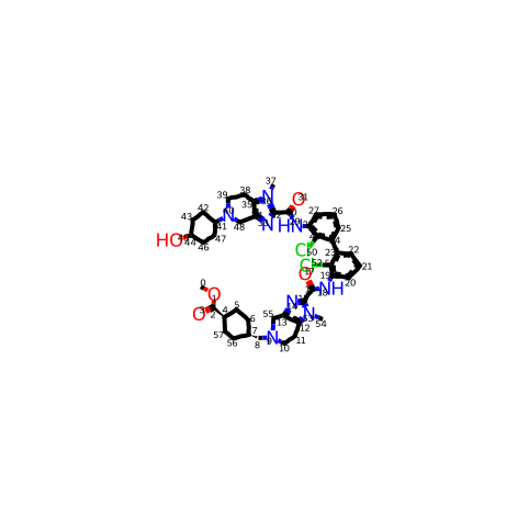 COC(=O)[C@H]1CC[C@H](CN2CCc3c(nc(C(=O)Nc4cccc(-c5cccc(NC(=O)c6nc7c(n6C)CCN(C6CCC(O)CC6)C7)c5Cl)c4Cl)n3C)C2)CC1